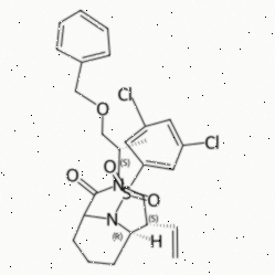 C=C[C@H]1CN([C@@H](C)COCc2ccccc2)C(=O)C2CCC[C@H]1N2S(=O)(=O)c1cc(Cl)cc(Cl)c1